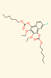 CCCCCCOC(=O)Oc1c(OCC)c(OCC)c(OC(=O)OCCCCCC)c2cc(F)ccc12